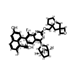 C#Cc1c(F)ccc2cc(O)cc(-c3c([N+](=O)[O-])cc4c(N5C[C@H]6CC[C@@H](C5)N6)nc(OCC56CCCN5CC5(COC5)C6)nc4c3F)c12